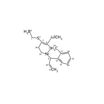 BCSC1=C(C=C)CN(C(C=C)c2ccccc2C)CC1